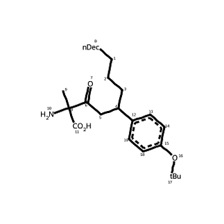 CCCCCCCCCCCCCC(CC(=O)C(C)(N)C(=O)O)c1ccc(OC(C)(C)C)cc1